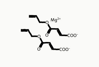 C=CCOC(=O)/C=C/C(=O)[O-].C=CCOC(=O)/C=C/C(=O)[O-].[Mg+2]